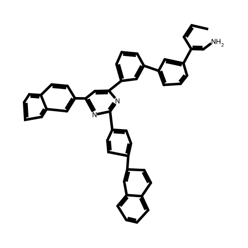 C/C=C\C(=C/N)c1cccc(-c2cccc(-c3cc(-c4ccc5ccccc5c4)nc(-c4ccc(-c5ccc6ccccc6c5)cc4)n3)c2)c1